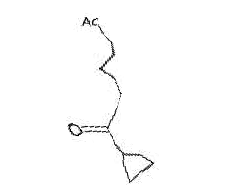 CC(=O)CCCC(=O)C1CC1